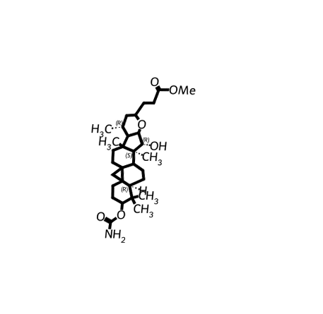 COC(=O)CCC1C[C@@H](C)C2C(O1)[C@H](O)[C@@]1(C)C3CC[C@H]4C(C)(C)C(OC(N)=O)CCC45CC35CCC21C